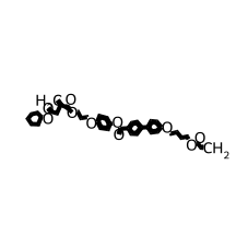 C=CC(=O)OCCCCOc1ccc(-c2ccc(C(=O)Oc3ccc(OCCCOC(=O)C(=C)CC(=O)OC4CCCCC4)cc3)cc2)cc1